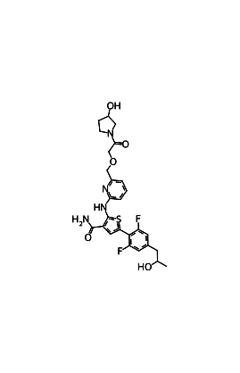 CC(O)Cc1cc(F)c(-c2cc(C(N)=O)c(Nc3cccc(COCC(=O)N4CCC(O)C4)n3)s2)c(F)c1